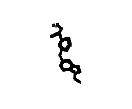 COC(=O)c1cncc(Oc2ccc3c(ccn3SI)c2)c1